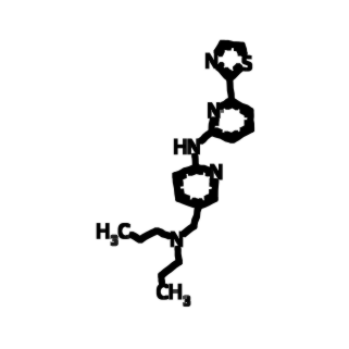 CCCN(CCC)Cc1ccc(Nc2cccc(-c3nccs3)n2)nc1